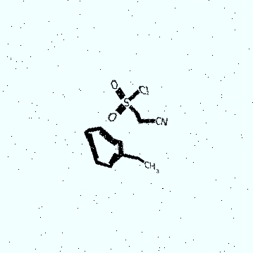 Cc1ccccc1.N#CCS(=O)(=O)Cl